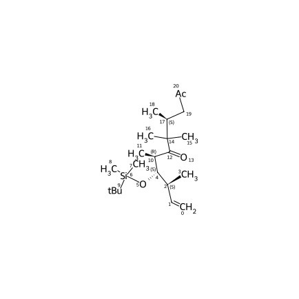 C=C[C@H](C)[C@H](O[Si](C)(C)C(C)(C)C)[C@@H](C)C(=O)C(C)(C)[C@@H](C)CC(C)=O